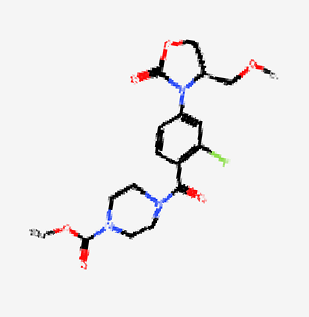 CCOC[C@@H]1COC(=O)N1c1ccc(C(=O)N2CCN(C(=O)OC(C)(C)C)CC2)c(F)c1